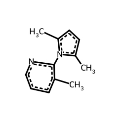 Cc1cccnc1-n1c(C)ccc1C